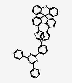 c1ccc(-c2nc(-c3ccccc3)nc(-c3cccc(-c4ccc(-c5cccc6c5-c5c(-c7ccncc7)cccc5C65c6ccccc6Oc6ccccc65)nc4)c3)n2)cc1